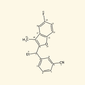 [CH2]CC(c1cccc(C#N)c1)c1oc2ccc(F)cc2c1C